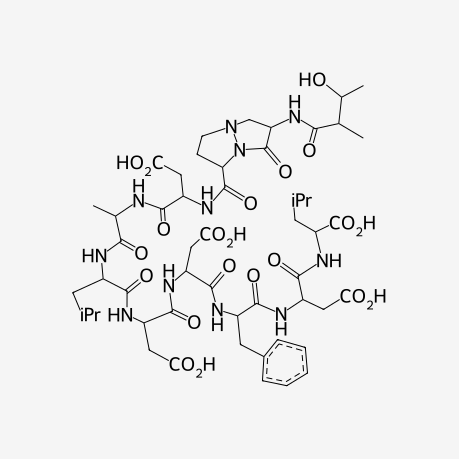 CC(C)CC(NC(=O)C(CC(=O)O)NC(=O)C(Cc1ccccc1)NC(=O)C(CC(=O)O)NC(=O)C(CC(=O)O)NC(=O)C(CC(C)C)NC(=O)C(C)NC(=O)C(CC(=O)O)NC(=O)C1CCN2CC(NC(=O)C(C)C(C)O)C(=O)N12)C(=O)O